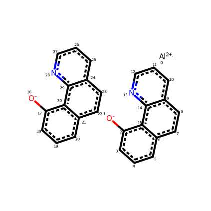 [Al+2].[O-]c1cccc2ccc3cccnc3c12.[O-]c1cccc2ccc3cccnc3c12